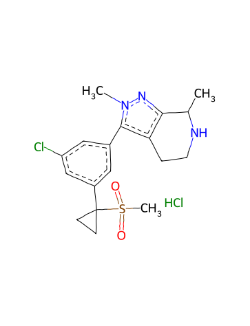 CC1NCCc2c1nn(C)c2-c1cc(Cl)cc(C2(S(C)(=O)=O)CC2)c1.Cl